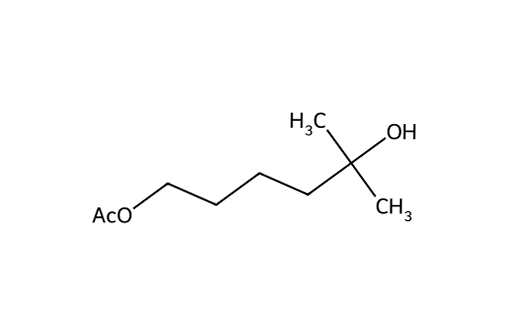 CC(=O)OCCCCC(C)(C)O